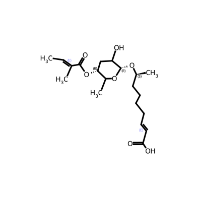 C/C=C(\C)C(=O)O[C@@H]1CC(O)[C@H](O[C@@H](C)CCCC/C=C/C(=O)O)OC1C